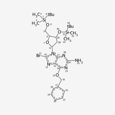 CC(C)(C)[Si](C)(C)OCC1OC(n2c(Br)nc3c(OCc4ccccc4)nc(N)nc32)CC1O[Si](C)(C)C(C)(C)C